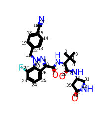 CC(C)(C)[C@H](NC(=O)c1nn(Cc2ccc(C#N)cc2)c2c(F)cccc12)C(=O)N[C@@H]1CNC(=O)C1